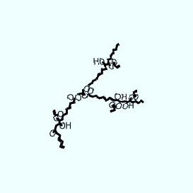 C=CC(=O)OC(CCCCCCCC)C(O)CCCCCCCCOCC(COC(=O)CCCCCCCC(OC(=O)C=C)C(O)CC1OC1CCCCC)OC(=O)CCCCCCCC(O)C(CC(O)C(CCCCC)OC(=O)C=C)OC(=O)C=C